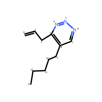 C=CCc1nnncc1CCCCC